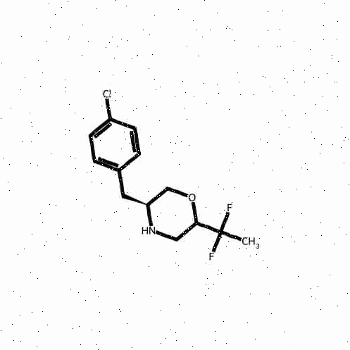 CC(F)(F)C1CN[C@@H](Cc2ccc(Cl)cc2)CO1